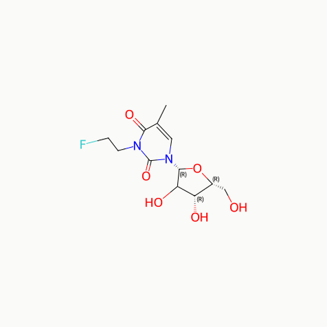 Cc1cn([C@@H]2O[C@H](CO)[C@H](O)C2O)c(=O)n(CCF)c1=O